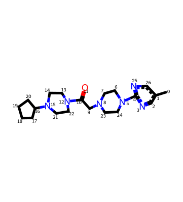 Cc1cnc(N2CCN(CC(=O)N3CCN(C4CCCC4)CC3)CC2)nc1